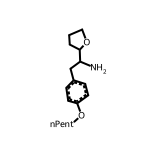 CCCCCOc1ccc(CC(N)C2CCCO2)cc1